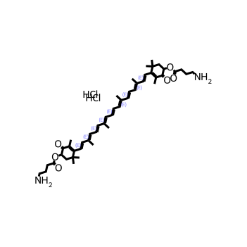 CC1=C(/C=C/C(C)=C/C=C/C(C)=C/C=C/C=C(C)/C=C/C=C(C)/C=C/C2=C(C)C(=O)C(OC(=O)CCCN)CC2(C)C)C(C)(C)CC(OC(=O)CCCN)C1=O.Cl.Cl